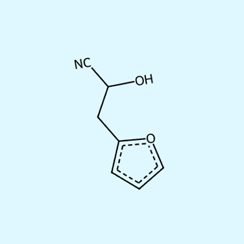 N#CC(O)Cc1ccco1